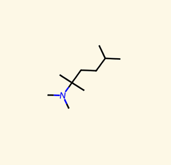 CC(C)CCC(C)(C)N(C)C